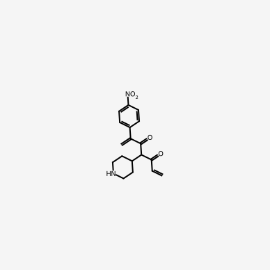 C=CC(=O)C(C(=O)C(=C)c1ccc([N+](=O)[O-])cc1)C1CCNCC1